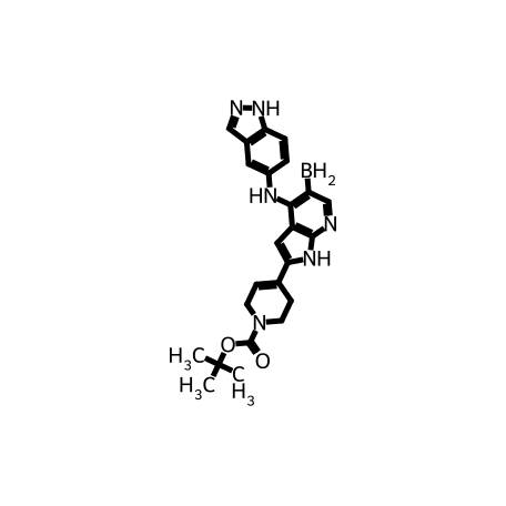 Bc1cnc2[nH]c(C3=CCN(C(=O)OC(C)(C)C)CC3)cc2c1Nc1ccc2[nH]ncc2c1